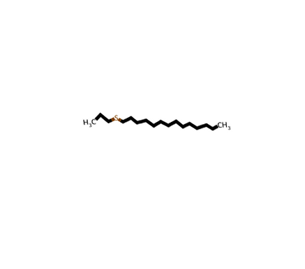 CCCCCCCCCCCCCCSCCC